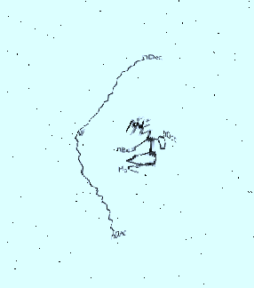 CCCCCCCCCCCCCCCCCCCCCCCCCCCCC[CH2][Ni][CH2]CCCCCCCCCCCCCCCCCCCCCCCCCCCCC.CCCCCCCCc1cccc(C(=C(C=C=[N+]=[N-])CCCC)c2ccc(C)cc2)c1